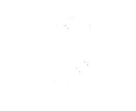 COCC1(Cn2cc3cc([N+](=O)[O-])c(Cl)cc3n2)CC1